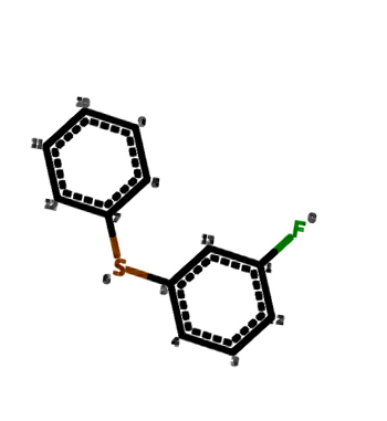 Fc1[c]ccc(Sc2ccccc2)c1